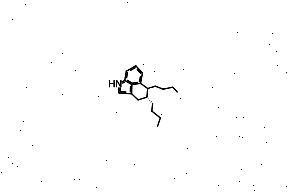 CCCCC1c2cccc3[nH]cc(c23)C[C@H]1CCCC